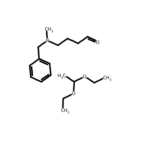 CCOC(C)OCC.CN(CCCC=O)Cc1ccccc1